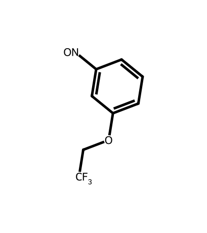 O=Nc1cccc(OCC(F)(F)F)c1